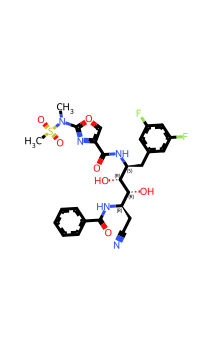 CN(c1nc(C(=O)N[C@@H](Cc2cc(F)cc(F)c2)[C@@H](O)[C@H](O)[C@@H](CC#N)NC(=O)c2ccccc2)co1)S(C)(=O)=O